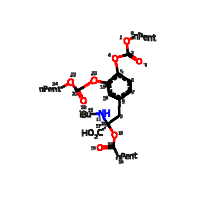 CCCCCOC(=O)Oc1ccc(C[C@](NC(C)CC)(OC(=O)CCCCC)C(=O)O)cc1OC(=O)OCCCCC